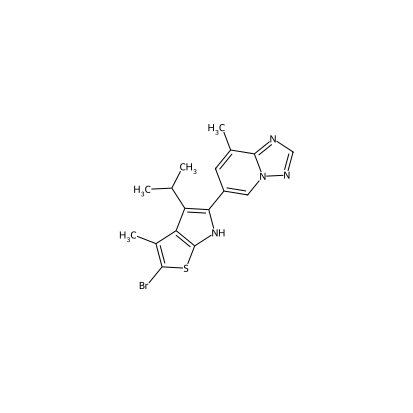 Cc1c(Br)sc2[nH]c(-c3cc(C)c4ncnn4c3)c(C(C)C)c12